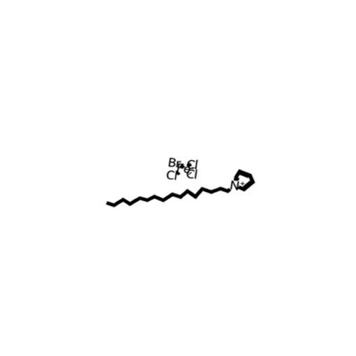 CCCCCCCCCCCCCCCC[n+]1ccccc1.[Cl][Fe-]([Cl])([Cl])[Br]